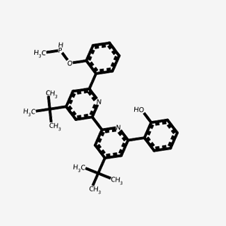 CPOc1ccccc1-c1cc(C(C)(C)C)cc(-c2cc(C(C)(C)C)cc(-c3ccccc3O)n2)n1